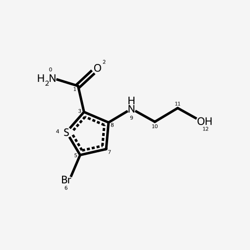 NC(=O)c1sc(Br)cc1NCCO